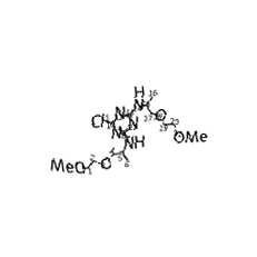 COCCOCC(C)Nc1nc(Cl)nc(NC(C)COCCOC)n1